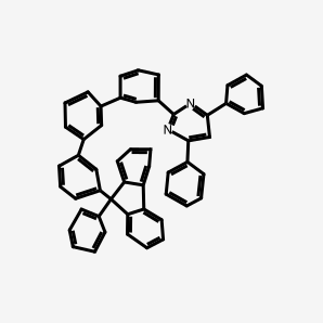 c1ccc(-c2cc(-c3ccccc3)nc(-c3cccc(-c4cccc(-c5cccc(C6(c7ccccc7)c7ccccc7-c7ccccc76)c5)c4)c3)n2)cc1